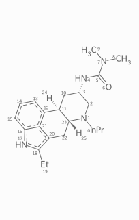 CCCN1C[C@@H](NC(=O)N(C)C)C[C@@H]2c3cccc4[nH]c(CC)c(c34)C[C@H]21